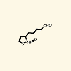 O=CCCCCC1CCSS1.O=P